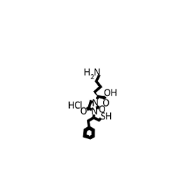 Cl.NCCCC[C@@H](C(=O)O)N1CC(=O)N(C(CS)Cc2ccccc2)C1=O